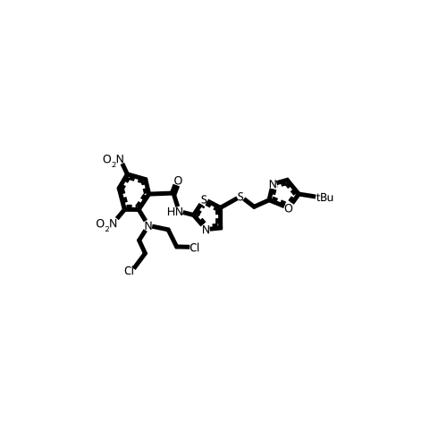 CC(C)(C)c1cnc(CSc2cnc(NC(=O)c3cc([N+](=O)[O-])cc([N+](=O)[O-])c3N(CCCl)CCCl)s2)o1